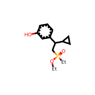 CCOP(=O)(CC)CC(c1cccc(O)c1)C1CC1